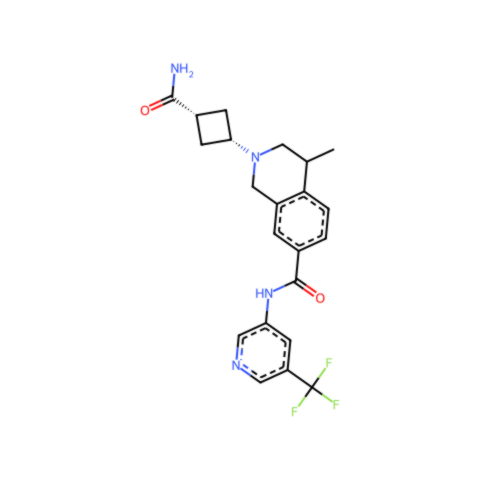 CC1CN([C@H]2C[C@@H](C(N)=O)C2)Cc2cc(C(=O)Nc3cncc(C(F)(F)F)c3)ccc21